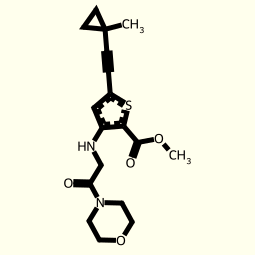 COC(=O)c1sc(C#CC2(C)CC2)cc1NCC(=O)N1CCOCC1